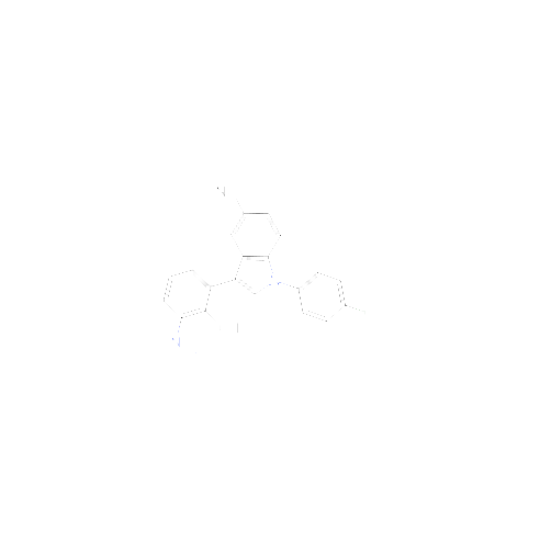 Cc1c(N)cccc1-c1cn(-c2ccc(Cl)cc2)c2ccc(C#N)cc12